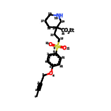 CC#CCOc1ccc(S(=O)(=O)CCC2(C(=O)OCC)CCCNC2)cc1